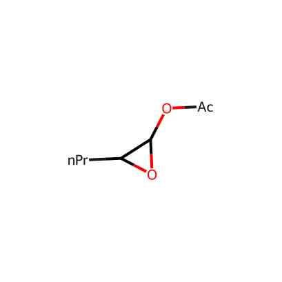 CCCC1OC1OC(C)=O